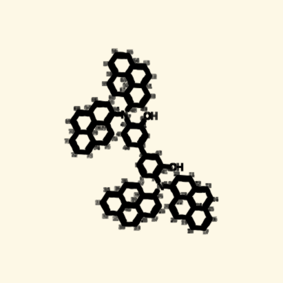 Oc1cc(-c2ccc(N(c3ccc4ccc5cccc6ccc3c4c56)c3ccc4ccc5cccc6ccc3c4c56)c(O)c2)ccc1N(c1ccc2ccc3cccc4ccc1c2c34)c1ccc2ccc3cccc4ccc1c2c34